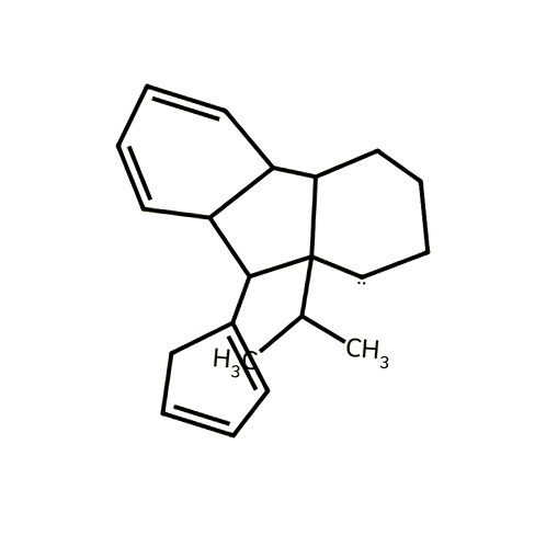 CC(C)C12[C]CCCC1C1C=CC=CC1C2C1=CC=CC1